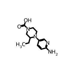 CCC1CN(C(=O)O)CCN1c1ccc(N)nc1